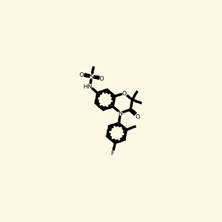 Cc1cc(F)ccc1N1C(=O)C(C)(C)Oc2cc(NS(C)(=O)=O)ccc21